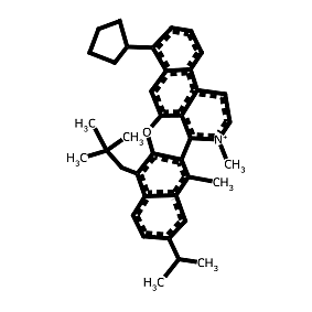 Cc1c2c(c(CC(C)(C)C)c3ccc(C(C)C)cc13)Oc1cc3c(C4CCCC4)cccc3c3cc[n+](C)c-2c13